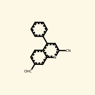 N#Cc1cc(-c2ccccc2)c2ccc(C=O)cc2n1